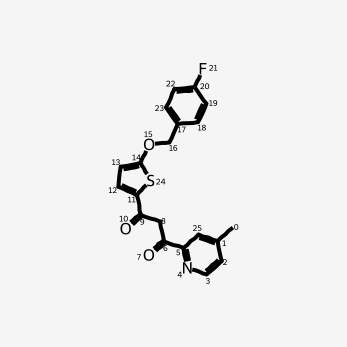 Cc1ccnc(C(=O)CC(=O)c2ccc(OCc3ccc(F)cc3)s2)c1